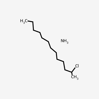 CCCCCCCCCCCC(C)Cl.N